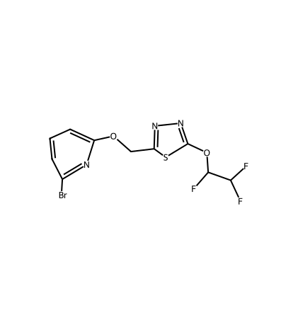 FC(F)C(F)Oc1nnc(COc2cccc(Br)n2)s1